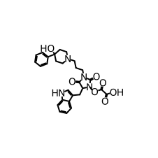 O=C(O)C(=O)ON1C(=O)N(CCCN2CCC(O)(c3ccccc3)CC2)C(=O)C1Cc1c[nH]c2ccccc12